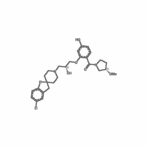 CO[C@H]1CCN(C(=O)c2ccc(O)cc2OC[C@H](O)CN2CCC3(CC2)Cc2cc(Cl)ccc2O3)C1